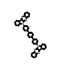 c1ccc2nc3c(nc2c1)c1ccccc1n3-c1ccc(-c2ccc(-c3ccc(-n4c5ccccc5c5nc6ccccc6nc54)cc3)cc2)cc1